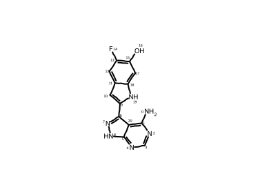 Nc1ncnc2[nH]nc(-c3cc4cc(F)c(O)cc4[nH]3)c12